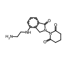 NCCNc1cccc2c1CN(N1C(=O)CCCC1=O)C2=O